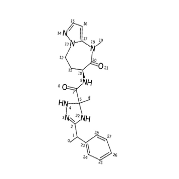 CC(C1=NNC(C)(C(=O)N[C@H]2CCn3nccc3N(C)C2=O)N1)c1ccccc1